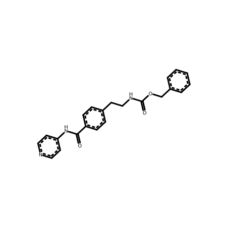 O=C(NCCc1ccc(C(=O)Nc2ccncc2)cc1)OCc1ccccc1